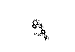 COc1cc(-c2cn(C3C(=O)N(C)CCc4ccccc43)nn2)ccc1-n1cnc(C)c1